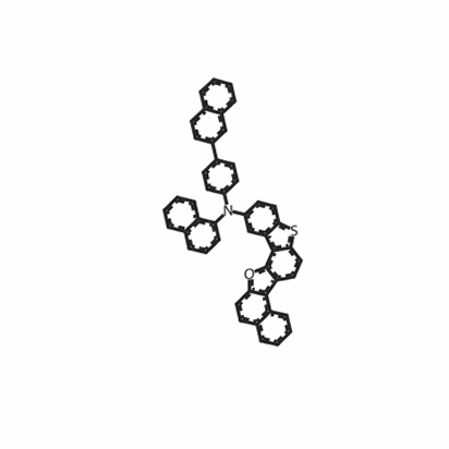 c1ccc2cc(-c3ccc(N(c4ccc5sc6ccc7c(oc8ccc9ccccc9c87)c6c5c4)c4cccc5ccccc45)cc3)ccc2c1